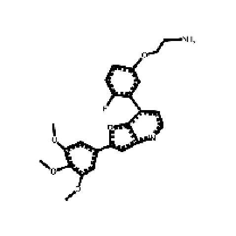 COc1cc(-c2cc3nccc(-c4cc(OCCN)ccc4F)c3o2)cc(OC)c1OC